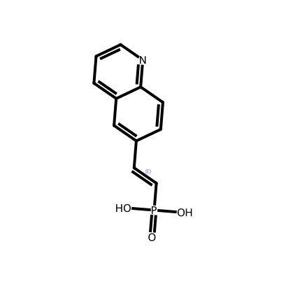 O=P(O)(O)/C=C/c1ccc2ncccc2c1